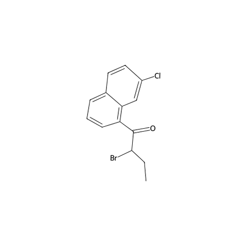 CCC(Br)C(=O)c1cccc2ccc(Cl)cc12